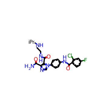 CC(C)NCCNC(=O)c1c(C(N)=O)ncn1-c1ccc(NC(=O)c2ccc(F)cc2Cl)cc1